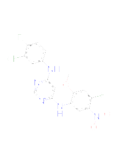 COc1cc(F)c([N+](=O)[O-])cc1Nc1cc(Nc2ccc(F)c(Cl)c2)ncn1